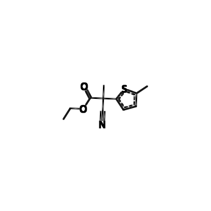 CCOC(=O)C(C)(C#N)c1ccc(C)s1